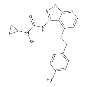 Cc1ccc(COc2cccc3onc(NC(=O)N(S)C4CC4)c23)cc1